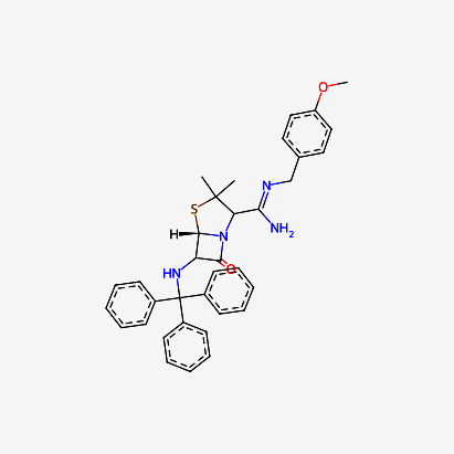 COc1ccc(CN=C(N)C2N3C(=O)C(NC(c4ccccc4)(c4ccccc4)c4ccccc4)[C@@H]3SC2(C)C)cc1